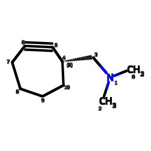 CN(C)C[C@H]1C#CCCCC1